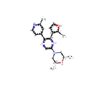 Cc1cc(-c2ncc(N3C[C@@H](C)O[C@@H](C)C3)nc2-c2ccoc2C)ccn1